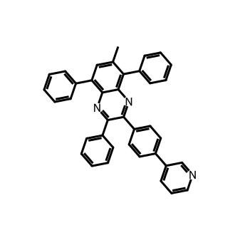 Cc1cc(-c2ccccc2)c2nc(-c3ccccc3)c(-c3ccc(-c4cccnc4)cc3)nc2c1-c1ccccc1